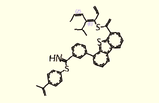 C=C/C(SC(=C)c1cccc2c1sc1c(-c3cccc(C(=N)Sc4ccc(C(=C)C)cc4)c3)cccc12)=C(\C=C/C)C(C)C